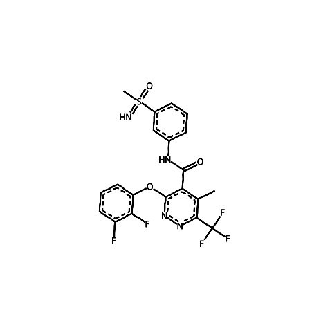 Cc1c(C(F)(F)F)nnc(Oc2cccc(F)c2F)c1C(=O)Nc1cccc(S(C)(=N)=O)c1